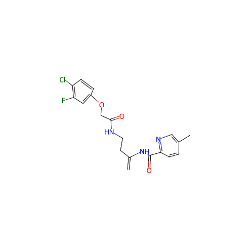 C=C(CCNC(=O)COc1ccc(Cl)c(F)c1)NC(=O)c1ccc(C)cn1